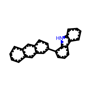 [c]1c(-c2cccc3c2[nH]c2ccccc23)ccc2cc3ccccc3cc12